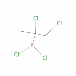 CC(Cl)(CCl)P(Cl)Cl